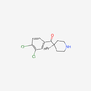 CCCC1(C(=O)c2ccc(Cl)c(Cl)c2)CCNCC1